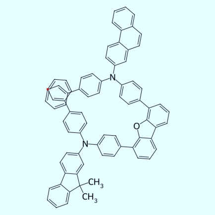 CC1(C)c2ccccc2-c2ccc(N(c3ccc(-c4ccccc4)cc3)c3ccc(-c4cccc5c4oc4c(-c6ccc(N(c7ccc(-c8ccccc8)cc7)c7ccc8c(ccc9ccccc98)c7)cc6)cccc45)cc3)cc21